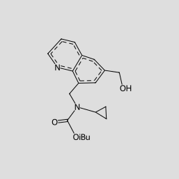 CC(C)COC(=O)N(Cc1cc(CO)cc2cccnc12)C1CC1